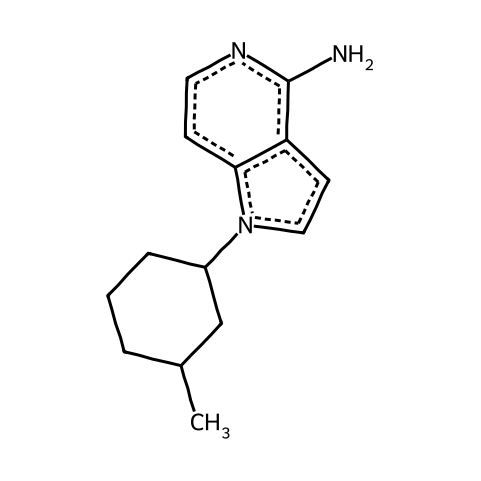 CC1CCCC(n2ccc3c(N)nccc32)C1